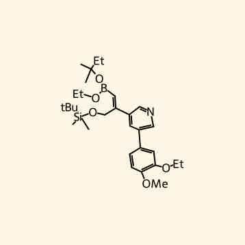 CCOB(/C=C(\CO[Si](C)(C)C(C)(C)C)c1cncc(-c2ccc(OC)c(OCC)c2)c1)OC(C)(C)CC